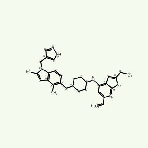 C=Cc1cc(NC2CCN(Cc3ccc4c(cc(C#N)n4Cc4cn[nH]c4)c3C)CC2)c2cc(CC(F)(F)F)sc2n1